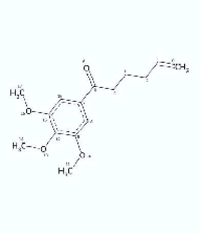 C=CCCCC(=O)c1cc(OC)c(OC)c(OC)c1